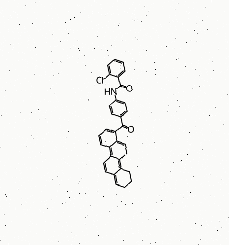 O=C(Nc1ccc(C(=O)c2cccc3c2=CCc2c4c(ccc2=3)=CCCC4)cc1)c1ccccc1Cl